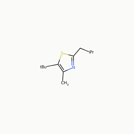 Cc1nc(CC(C)C)sc1C(C)(C)C